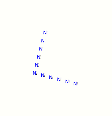 [N].[N].[N].[N].[N].[N].[N].[N].[N].[N].[N]